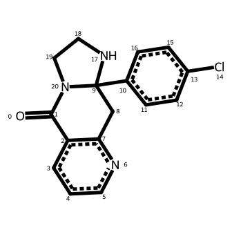 O=C1c2cccnc2CC2(c3ccc(Cl)cc3)NCCN12